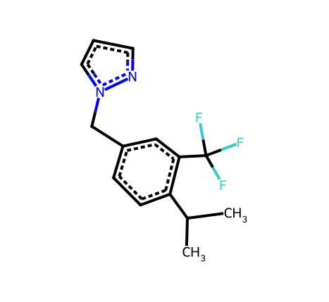 CC(C)c1ccc(Cn2cccn2)cc1C(F)(F)F